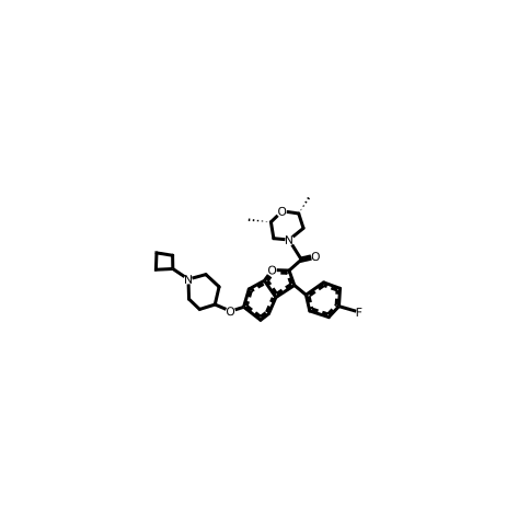 C[C@@H]1CN(C(=O)c2oc3cc(OC4CCN(C5CCC5)CC4)ccc3c2-c2ccc(F)cc2)C[C@H](C)O1